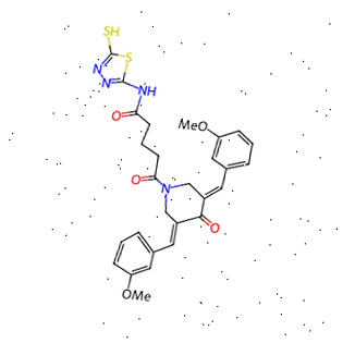 COc1cccc(/C=C2\CN(C(=O)CCCC(=O)Nc3nnc(S)s3)C/C(=C\c3cccc(OC)c3)C2=O)c1